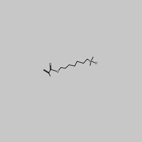 C=C(C)C(=O)OCCCCCCC[Si](C)(C)Cl